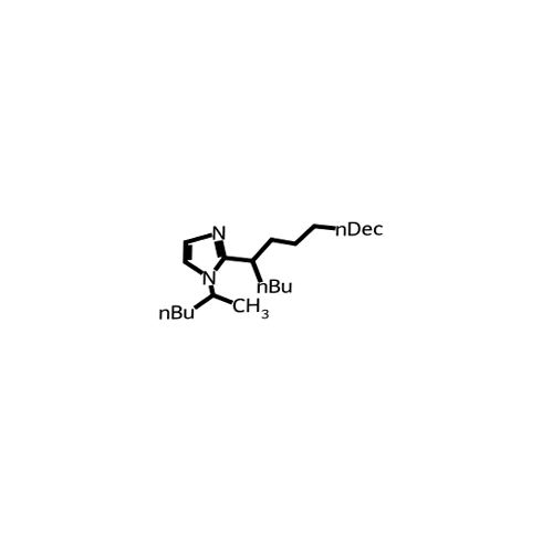 CCCCCCCCCCCCCC(CCCC)c1nccn1C(C)CCCC